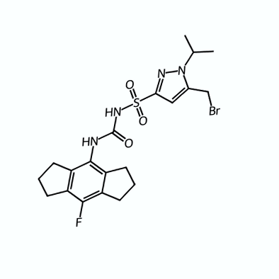 CC(C)n1nc(S(=O)(=O)NC(=O)Nc2c3c(c(F)c4c2CCC4)CCC3)cc1CBr